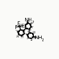 Nc1cccc(-c2ccc(N)cc2-c2ccccc2C(F)(F)F)c1